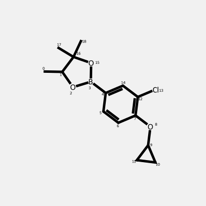 CC1OB(c2ccc(OC3CC3)c(Cl)c2)OC1(C)C